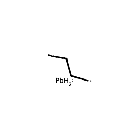 [CH2]CCC.[PbH2]